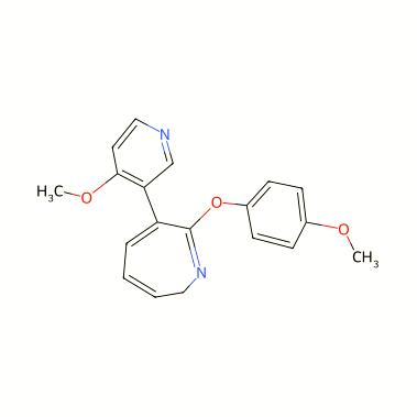 COc1ccc(OC2=NCC=CC=C2c2cnccc2OC)cc1